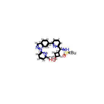 CC(C)(C)[S+]([O-])N[C@H](c1cccc(-c2ccc3cnn(-c4cccc(C(F)(F)F)n4)c3c2)n1)C1CC(O)C1